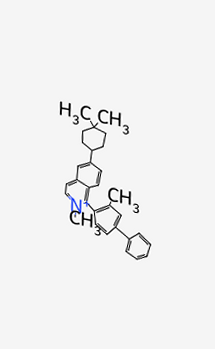 Cc1cc(-c2ccccc2)ccc1-c1c2ccc(C3CCC(C)(C)CC3)cc2cc[n+]1C